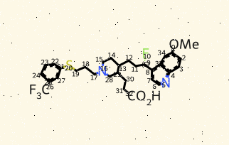 COc1ccc2nccc([C@@H](F)CCC3CCN(CCCSc4cccc(C(F)(F)F)c4)CC3CCC(=O)O)c2c1